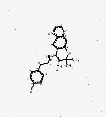 CC1(C)Oc2cc3nccnc3cc2[C@H](NCCc2ccc(F)cc2)[C@H]1O